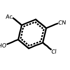 CC(=O)c1cc(C#N)c(Cl)cc1O